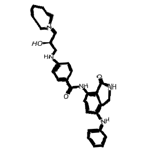 O=C(Nc1ccc(Nc2ccccc2)c2c1C(=O)NC2)c1ccc(NC[C@@H](O)CN2CCCCC2)cc1